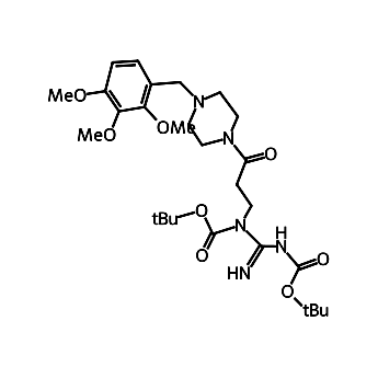 COc1ccc(CN2CCN(C(=O)CCN(C(=N)NC(=O)OC(C)(C)C)C(=O)OC(C)(C)C)CC2)c(OC)c1OC